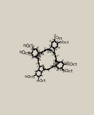 CCCCCCCCc1cc2c(cc1CCCCCCCC)-c1cc3[nH]c(cc4nc(cc5[nH]c(cc-2n1)c1cc(CCCCCCCC)c(CCCCCCCC)cc51)-c1cc(CCCCCCCC)c(CCCCCCCC)cc1-4)c1cc(CCCCCCCC)c(CCCCCCCC)cc31